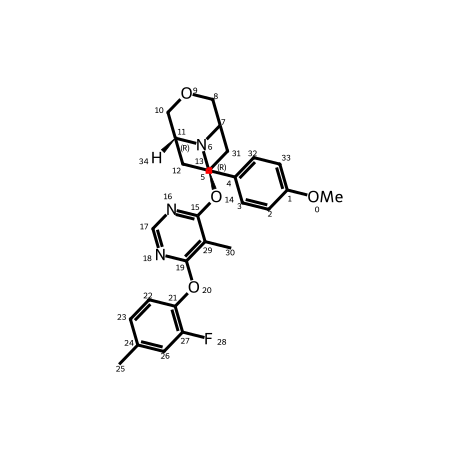 COc1ccc(CN2C3COC[C@H]2C[C@H](Oc2ncnc(Oc4ccc(C)cc4F)c2C)C3)cc1